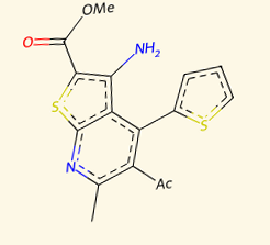 COC(=O)c1sc2nc(C)c(C(C)=O)c(-c3cccs3)c2c1N